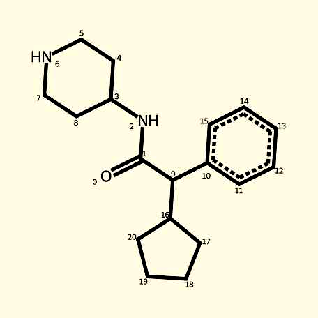 O=C(NC1CCNCC1)C(c1ccccc1)C1CCCC1